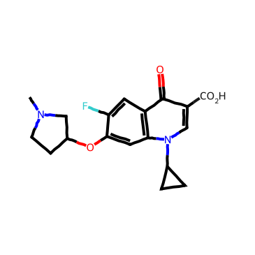 CN1CCC(Oc2cc3c(cc2F)c(=O)c(C(=O)O)cn3C2CC2)C1